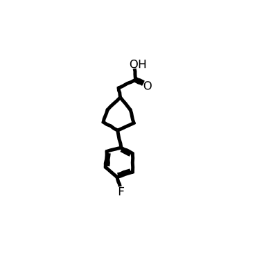 O=C(O)CC1CCC(c2ccc(F)cc2)CC1